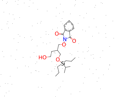 CCC[Si](CCC)(OCC(CCO)CON1C(=O)c2ccccc2C1=O)C(C)C